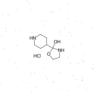 Cl.OC1(C2CCNCC2)NCCO1